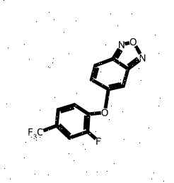 Fc1cc(C(F)(F)F)ccc1Oc1ccc2nonc2c1